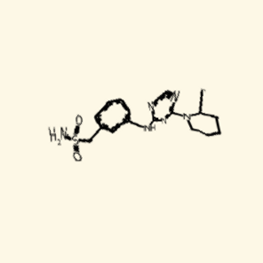 [CH2]C1CCCCN1c1ncnc(Nc2cccc(CS(N)(=O)=O)c2)n1